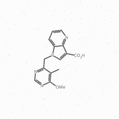 COc1ncnc(Cn2cc(C(=O)O)c3ncccc32)c1C